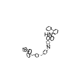 CC(C)(C)OC(=O)CCOCCc1ccc(CN2CC3CC(OC(=O)Nc4ccccc4-c4ccccc4)CC3C2)cc1